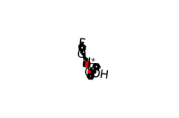 O=C(OC1C[N+]2(CCCOc3ccc(F)cc3)CCC1CC2)C(O)(c1ccccc1)c1ccccc1